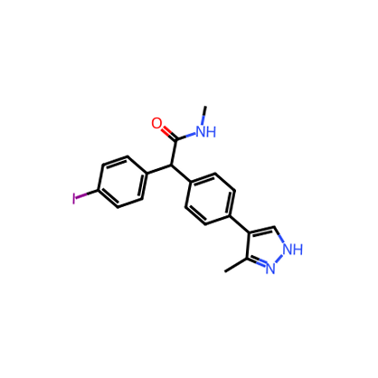 CNC(=O)C(c1ccc(I)cc1)c1ccc(-c2c[nH]nc2C)cc1